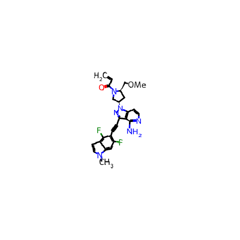 C=CC(=O)N1C[C@@H](n2nc(C#Cc3c(F)cc4c(ccn4C)c3F)c3c(N)nccc32)C[C@@H]1COC